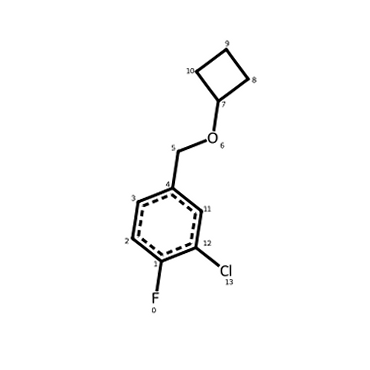 Fc1ccc(COC2CCC2)cc1Cl